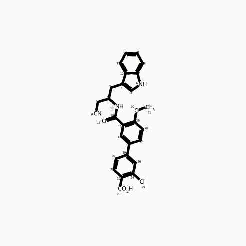 N#CCC(Cc1c[nH]c2ccccc12)NC(=O)c1cc(-c2ccc(C(=O)O)c(Cl)c2)ccc1OC(F)(F)F